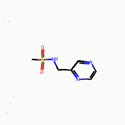 CS(=O)(=O)NCc1cnccn1